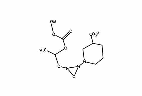 CC(OC(=O)OC(C)(C)C)On1on1N1CCCC(C(=O)O)C1